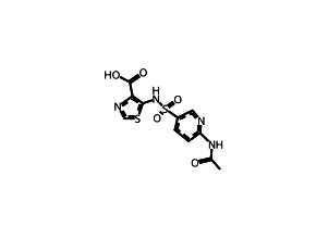 CC(=O)Nc1ccc(S(=O)(=O)Nc2scnc2C(=O)O)cn1